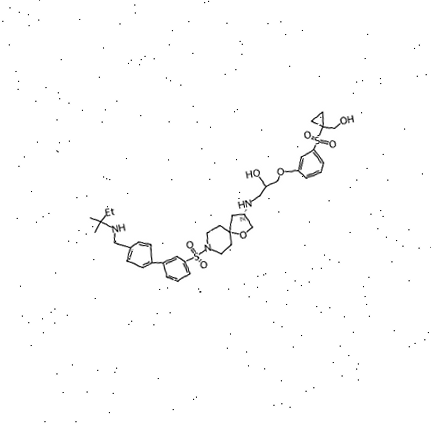 CCC(C)(C)NCc1ccc(-c2cccc(S(=O)(=O)N3CCC4(CC3)C[C@H](NCC(O)COc3cccc(S(=O)(=O)C5(CO)CC5)c3)CO4)c2)cc1